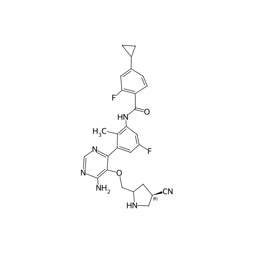 Cc1c(NC(=O)c2ccc(C3CC3)cc2F)cc(F)cc1-c1ncnc(N)c1OCC1C[C@@H](C#N)CN1